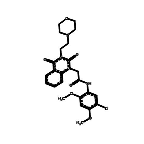 COc1cc(OC)c(NC(=O)Cn2c(=O)n(CCN3CCOCC3)c(=O)c3ccccc32)cc1Cl